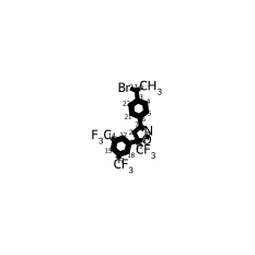 CC(Br)c1ccc(C2=NOC(c3cc(C(F)(F)F)cc(C(F)(F)F)c3)(C(F)(F)F)C2)cc1